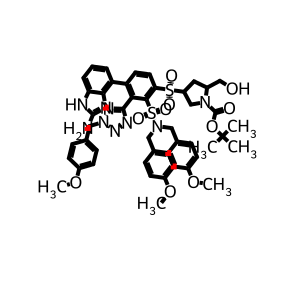 COc1ccc(CN(Cc2ccc(OC)cc2)S(=O)(=O)c2c(S(=O)(=O)C3CC(CO)N(C(=O)OC(C)(C)C)C3)ccc(-c3cccc4[nH]c(N)nc34)c2-c2nnn(Cc3ccc(OC)cc3)n2)cc1